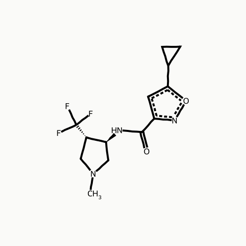 CN1C[C@H](NC(=O)c2cc(C3CC3)on2)[C@@H](C(F)(F)F)C1